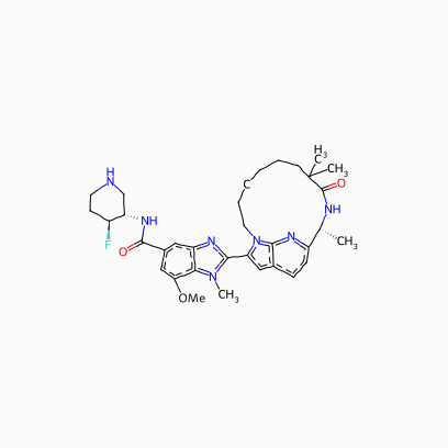 COc1cc(C(=O)N[C@H]2CNCC[C@@H]2F)cc2nc(-c3cc4ccc5nc4n3CCCCCCC(C)(C)C(=O)N[C@@H]5C)n(C)c12